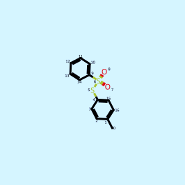 Cc1ccc(SS(=O)(=O)c2ccccc2)cc1